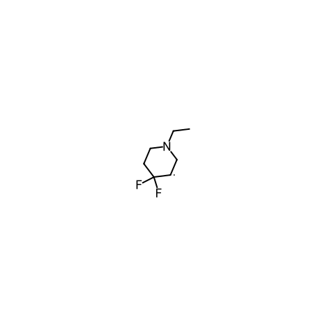 CCN1C[CH]C(F)(F)CC1